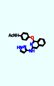 CC(=O)Nc1ccc(Oc2nc(Nc3cc[nH]n3)cc3ccccc23)cc1